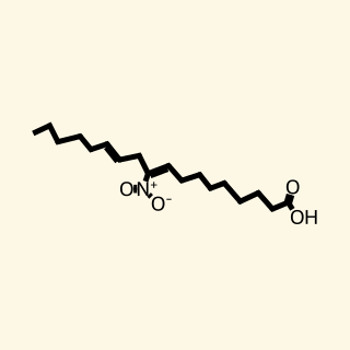 CCCCCC=CCC(=CCCCCCCCC(=O)O)[N+](=O)[O-]